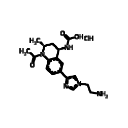 CC(=O)N1c2ccc(-c3cn(CCN)cn3)cc2[C@H](NC(=O)O)C[C@@H]1C.Cl